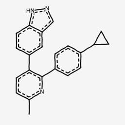 Cc1ccc(-c2ccc3[nH]ncc3c2)c(-c2ccc(C3CC3)cc2)n1